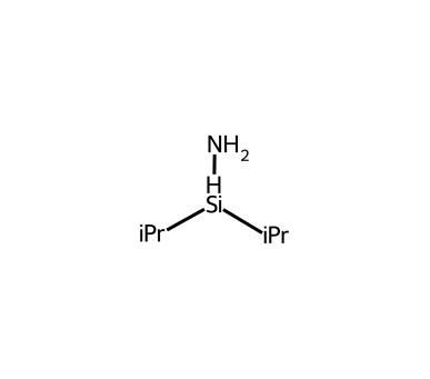 CC(C)[SiH](N)C(C)C